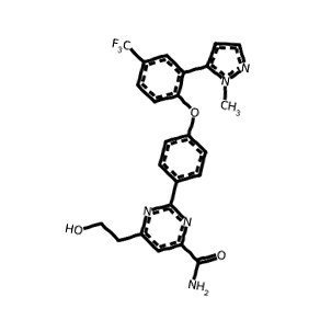 Cn1nccc1-c1cc(C(F)(F)F)ccc1Oc1ccc(-c2nc(CCO)cc(C(N)=O)n2)cc1